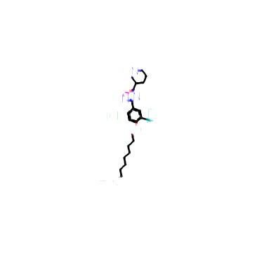 CCCCCCCCCOc1ccc(-c2noc(C3CCCNC3)n2)cc1C(F)(F)F.Cl